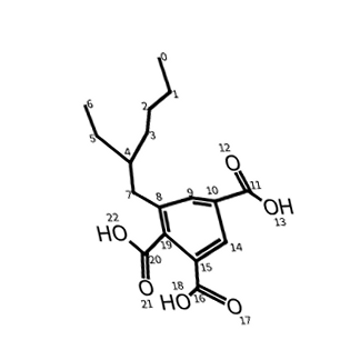 CCCCC(CC)Cc1cc(C(=O)O)cc(C(=O)O)c1C(=O)O